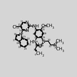 C=CC(=O)Nc1cc(Nc2ncc(Cl)c(-n3ccc4ccccc43)n2)c(OC)cc1N(C)CCN(C)C